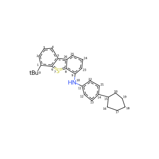 CC(C)(C)c1cccc2c1sc1c(Nc3ccc(C4CCCCC4)cc3)cccc12